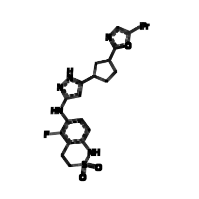 CC(C)c1cnc(C2CCC(c3cc(Nc4ccc5c(c4F)CCS(=O)(=O)N5)n[nH]3)C2)o1